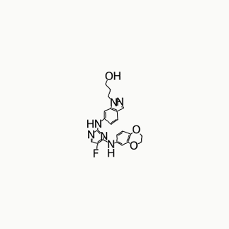 OCCCn1ncc2ccc(Nc3ncc(F)c(Nc4ccc5c(c4)OCCO5)n3)cc21